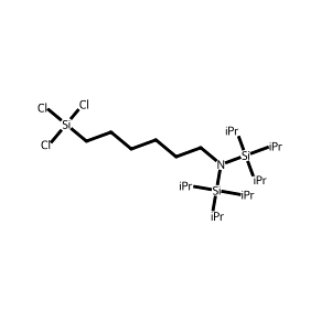 CC(C)[Si](C(C)C)(C(C)C)N(CCCCCC[Si](Cl)(Cl)Cl)[Si](C(C)C)(C(C)C)C(C)C